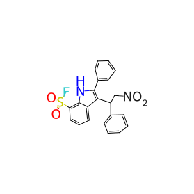 O=[N+]([O-])CC(c1ccccc1)c1c(-c2ccccc2)[nH]c2c(S(=O)(=O)F)cccc12